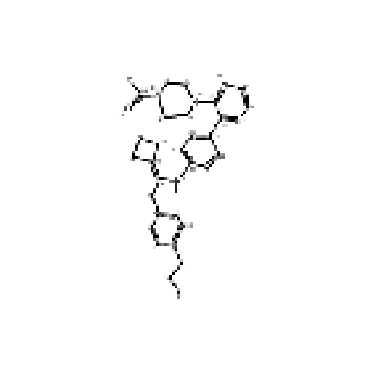 CCCc1ccc(CC(Nc2ccc(-c3nccnc3N3CCN(C(C)=O)CC3)cc2)=C2CCC2)cc1